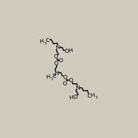 CCCCN(CCO)CCOC(=O)OCCN(C)CCOC(=O)OCCN(CCO)CCCC